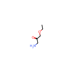 CCOCC(=O)CN